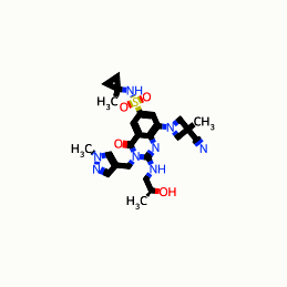 C[C@H](O)CNc1nc2c(N3CC(C)(C#N)C3)cc(S(=O)(=O)NC3(C)CC3)cc2c(=O)n1Cc1cnn(C)c1